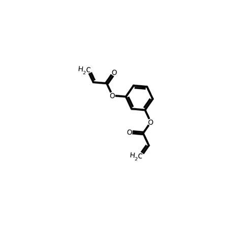 C=CC(=O)Oc1cccc(OC(=O)C=C)c1